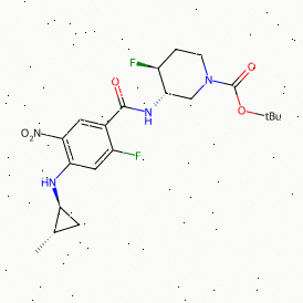 C[C@H]1C[C@@H]1Nc1cc(F)c(C(=O)N[C@H]2CN(C(=O)OC(C)(C)C)CC[C@@H]2F)cc1[N+](=O)[O-]